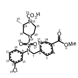 COC(=O)c1ccc(CN(c2cccc(Cl)c2)S(=O)(=O)N2CCN(C(=O)O)[C@@H](C)C2)nc1